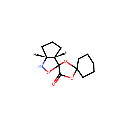 O=C1OC2(CCCCC2)OC12ON[C@@H]1CCC[C@@H]12